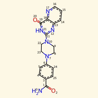 NC(=O)c1ccc(N2CCN(c3nc4cccnc4c(=O)[nH]3)CC2)cc1